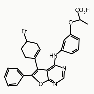 CCC1CC=C(c2c(-c3ccccc3)oc3ncnc(Nc4cccc(OC(C)C(=O)O)c4)c23)CC1